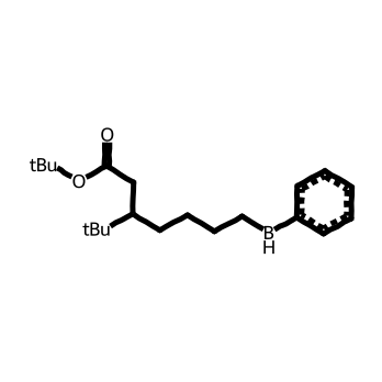 CC(C)(C)OC(=O)CC(CCCCBc1ccccc1)C(C)(C)C